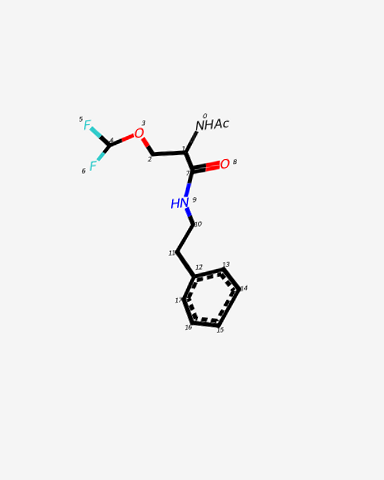 CC(=O)NC(COC(F)F)C(=O)NCCc1ccccc1